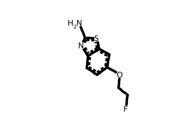 Nc1nc2ccc(OCCF)cc2s1